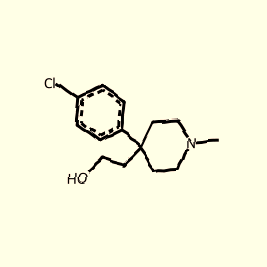 CN1CCC(CCO)(c2ccc(Cl)cc2)CC1